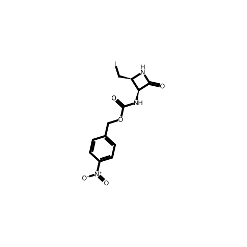 O=C(N[C@@H]1C(=O)N[C@@H]1CI)OCc1ccc([N+](=O)[O-])cc1